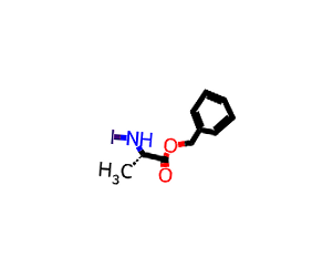 C[C@H](NI)C(=O)OCc1ccccc1